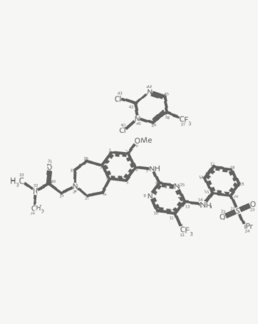 COc1cc2c(cc1Nc1ncc(C(F)(F)F)c(Nc3ccccc3S(=O)(=O)C(C)C)n1)CCN(CC(=O)N(C)C)CC2.FC(F)(F)C1=CN(Cl)C(Cl)N=C1